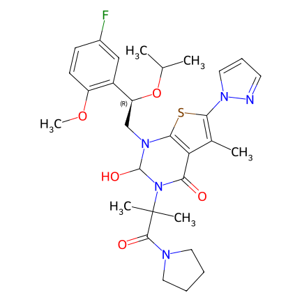 COc1ccc(F)cc1[C@H](CN1c2sc(-n3cccn3)c(C)c2C(=O)N(C(C)(C)C(=O)N2CCCC2)C1O)OC(C)C